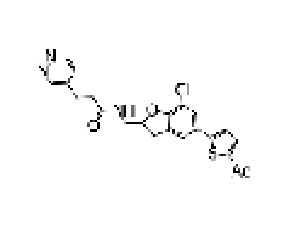 CC(=O)c1ccc(-c2cc(Cl)c3c(c2)CC(CNC(=O)/C=C/c2ccnnc2)O3)s1